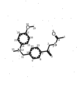 C=C(CSC(C)=O)c1ccc(CN(C)c2ccc(OC)cc2)cc1